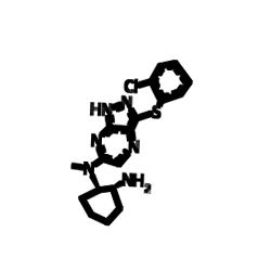 CN(c1cnc2c(Sc3ccccc3Cl)n[nH]c2n1)[C@@H]1CCCC[C@@H]1N